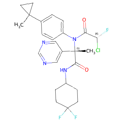 CC1(c2ccc(N(C(=O)[C@H](F)Cl)[C@](C)(C(=O)NC3CCC(F)(F)CC3)c3cncnc3)cc2)CC1